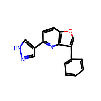 c1ccc(-c2coc3ccc(-c4cn[nH]c4)nc23)cc1